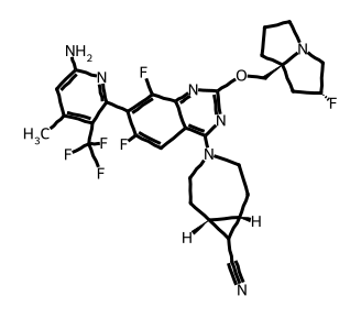 Cc1cc(N)nc(-c2c(F)cc3c(N4CC[C@@H]5C(C#N)[C@@H]5CC4)nc(OC[C@@]45CCCN4C[C@H](F)C5)nc3c2F)c1C(F)(F)F